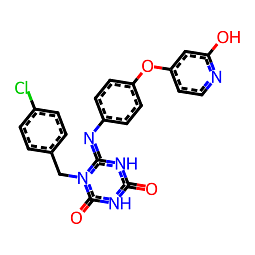 O=c1[nH]c(=O)n(Cc2ccc(Cl)cc2)/c(=N/c2ccc(Oc3ccnc(O)c3)cc2)[nH]1